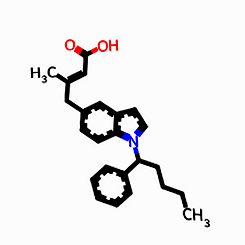 CCCCC(c1ccccc1)n1ccc2cc(CC(C)=CC(=O)O)ccc21